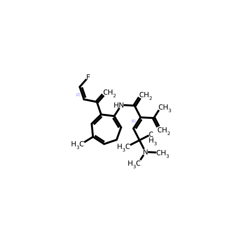 C=C(/C=C\F)C1=CC(C)=CCC=C1NC(=C)/C(=C/C(C)(C)N(C)C)C(=C)C